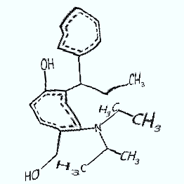 CCC(c1ccccc1)c1c(O)ccc(CO)c1N(C(C)C)C(C)C